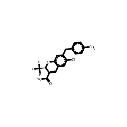 Cc1ccc(Cc2cc3c(cc2Cl)C=C(C(=O)O)[C@@H](C(F)(F)F)O3)cc1